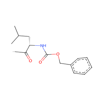 [CH2]C(=O)[C@H](CC(C)C)NC(=O)OCc1ccccc1